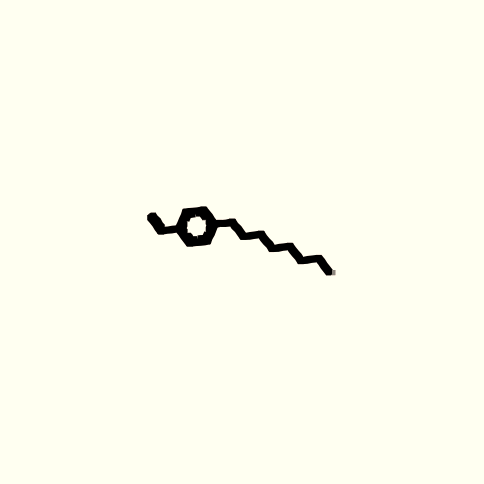 [CH2]CCCCCCCc1ccc(C=C)cc1